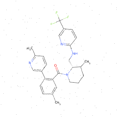 Cc1ccc(-c2ccc(C)nc2)c(C(=O)N2CCCC(C)[C@H]2CNc2ccc(C(F)(F)F)cn2)c1